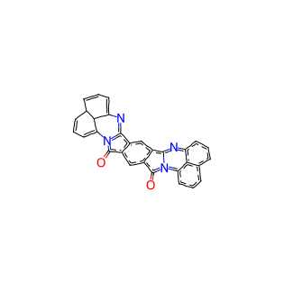 O=c1c2cc3c(=O)n4c5cccc6cccc(nc-4c3cc2c2n1C1=CC=CC3C=CC=C(N=2)C13)c65